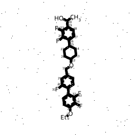 CCOc1ccc(-c2ccc(COC3CCC(c4ccc(C(C)O)c(F)c4F)CC3)cc2F)c(F)c1F